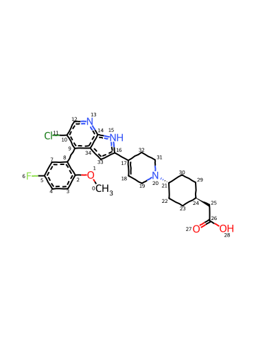 COc1ccc(F)cc1-c1c(Cl)cnc2[nH]c(C3=CCN([C@H]4CC[C@H](CC(=O)O)CC4)CC3)cc12